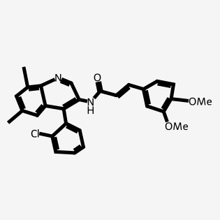 COc1ccc(C=CC(=O)Nc2cnc3c(C)cc(C)cc3c2-c2ccccc2Cl)cc1OC